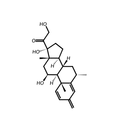 C=C1C=C[C@@]2(C)C(=C1)[C@@H](C)C[C@@H]1[C@@H]2[C@@H](O)C[C@@]2(C)[C@H]1CC[C@]2(O)C(=O)CO